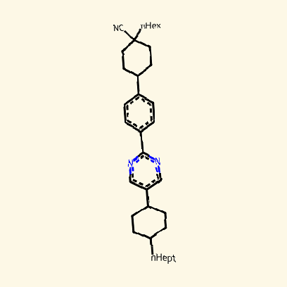 CCCCCCCC1CCC(c2cnc(-c3ccc(C4CCC(C#N)(CCCCCC)CC4)cc3)nc2)CC1